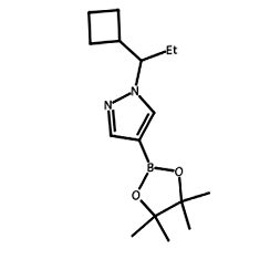 CCC(C1CCC1)n1cc(B2OC(C)(C)C(C)(C)O2)cn1